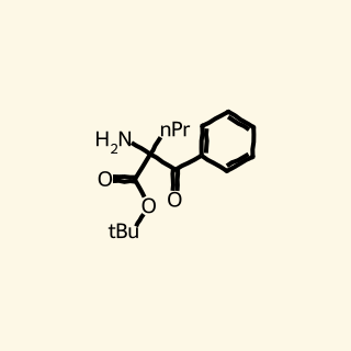 CCCC(N)(C(=O)OC(C)(C)C)C(=O)c1ccccc1